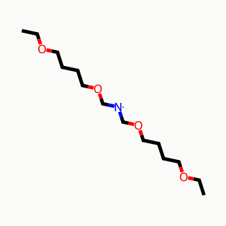 CCOCCCCOC[N]COCCCCOCC